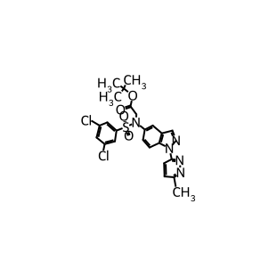 Cc1ccc(-n2ncc3cc(N(CC(=O)OC(C)(C)C)S(=O)(=O)c4cc(Cl)cc(Cl)c4)ccc32)nn1